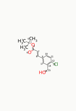 CC(C)(C)OC(=O)/C=C/c1ccc(Cl)c(CO)c1